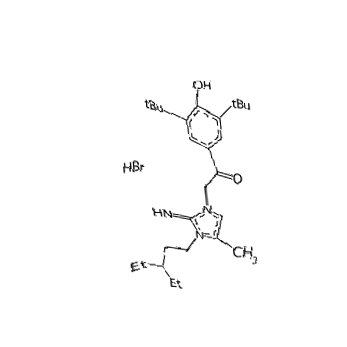 Br.CCC(CC)CCn1c(C)cn(CC(=O)c2cc(C(C)(C)C)c(O)c(C(C)(C)C)c2)c1=N